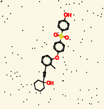 Cc1c(C#CC2(O)CCCCC2)cccc1Oc1ccc(S(=O)(=O)c2ccc(O)cc2)cc1